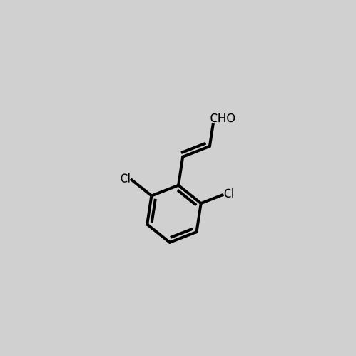 O=C/C=C/c1c(Cl)cccc1Cl